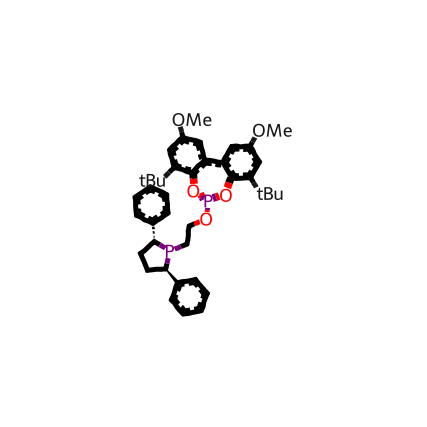 COc1cc(C(C)(C)C)c2op(OCCP3[C@@H](c4ccccc4)CC[C@@H]3c3ccccc3)oc3c(C(C)(C)C)cc(OC)cc3c2c1